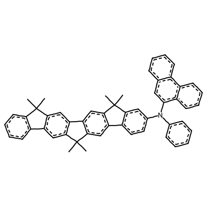 CC1(C)c2ccccc2-c2cc3c(cc21)-c1cc2c(cc1C3(C)C)-c1ccc(N(c3ccccc3)c3cc4ccccc4c4ccccc34)cc1C2(C)C